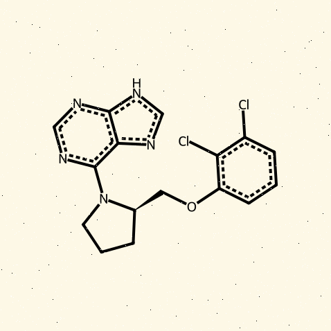 Clc1cccc(OC[C@H]2CCCN2c2ncnc3[nH]cnc23)c1Cl